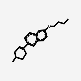 CCCCOc1ccc2cc(C3=CCC(C)CC3)ccc2c1